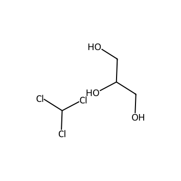 ClC(Cl)Cl.OCC(O)CO